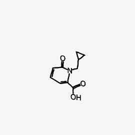 O=C(O)c1cccc(=O)n1CC1CC1